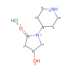 Cl.O=C1CC(O)CN1C1CCNCC1